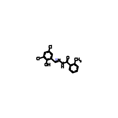 Cc1ccccc1C(=O)N/N=C/c1cc(Cl)cc(Cl)c1O